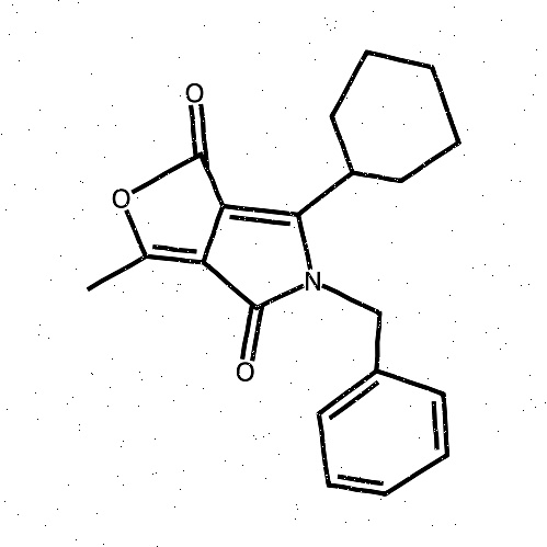 CC1=C2C(=O)N(Cc3ccccc3)C(C3CCCCC3)=C2C(=O)O1